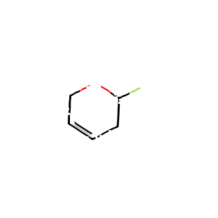 FC1CC=CCO1